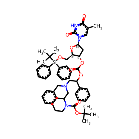 Cc1cn([C@H]2C[C@H](OC(=O)OC(CN(Cc3ccccc3)CC3CCCCN3C(=O)OC(C)(C)C)c3ccccc3)[C@@H](CO[Si](c3ccccc3)(c3ccccc3)C(C)(C)C)O2)c(=O)[nH]c1=O